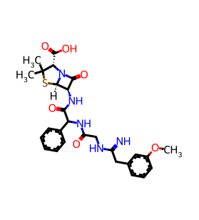 COc1cccc(CC(=N)NCC(=O)NC(C(=O)N[C@@H]2C(=O)N3[C@@H]2SC(C)(C)[C@@H]3C(=O)O)c2ccccc2)c1